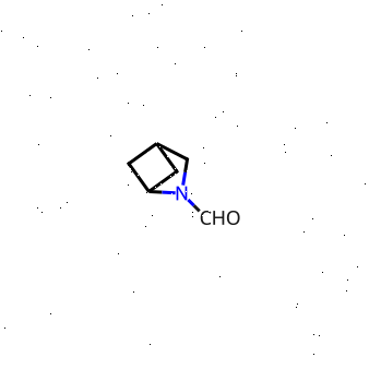 O=CN1CC2CC1C2